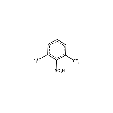 O=S(=O)(O)c1c(C(F)(F)F)cccc1C(F)(F)F